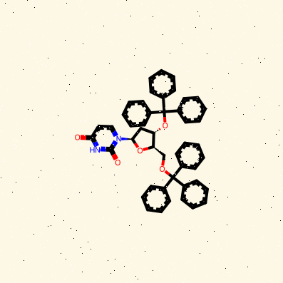 O=c1ccn([C@H]2C[C@H](OC(c3ccccc3)(c3ccccc3)c3ccccc3)[C@@H](COC(c3ccccc3)(c3ccccc3)c3ccccc3)O2)c(=O)[nH]1